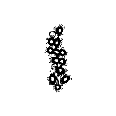 c1ccc([Si](c2ccccc2)(c2ccccc2)c2ccc3c(c2)Oc2ccc(-c4c5ccccc5c(-c5ccc6c7c(cccc57)Oc5ccccc5-6)c5ccccc45)c4cccc-3c24)cc1